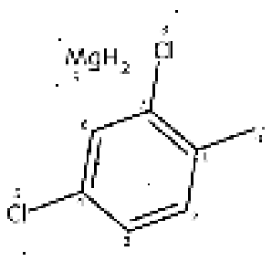 [CH2]c1ccc(Cl)cc1Cl.[MgH2]